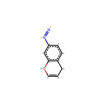 [N]=Nc1ccc2c(c1)OC=CC2